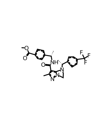 COC(=O)c1ccc([C@H](C)NC(=O)c2c(C)nn3c2N([C@H](C)c2ccc(C(F)(F)F)cc2)CC3)cc1